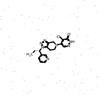 CC[C@@H](c1cccnc1)n1nnc2c1CCN(c1cn[nH]c(=O)c1Cl)C2